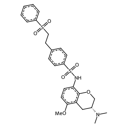 COc1ccc(NS(=O)(=O)c2ccc(CCS(=O)(=O)c3ccccc3)cc2)c2c1C[C@@H](N(C)C)CO2